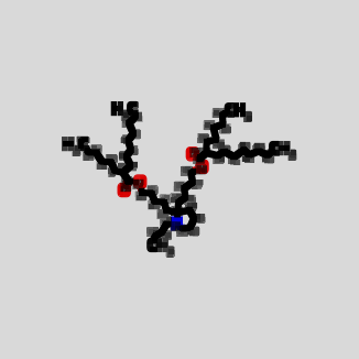 CCCCCCCCC(CCCCCC)C(=O)OCCCCCC1(CCCCCOC(=O)C(CCCCCC)CCCCCCCC)CCCCN1CCCC